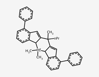 CCCC1(C)C2=Cc3c(-c4ccccc4)cccc3[CH]2[Hf]([CH3])([CH3])[CH]2C1=Cc1c(-c3ccccc3)cccc12